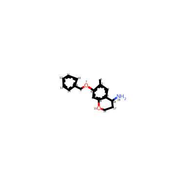 Cc1cc2c(cc1OCc1ccccc1)OCCC2N